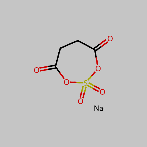 O=C1CCC(=O)OS(=O)(=O)O1.[Na]